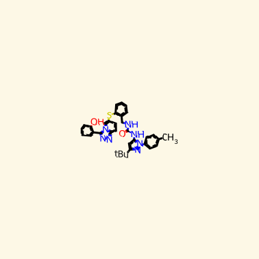 Cc1ccc(-n2nc(C(C)(C)C)cc2NC(=O)NCc2ccccc2Sc2ccc3nnc(-c4ccccc4O)n3c2)cc1